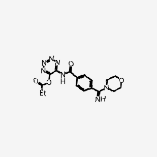 CCC(=O)Oc1nnnnc1NC(=O)c1ccc(C(=N)N2CCOCC2)cc1